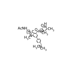 CC(=O)N[C@H]1CC[C@@H](N(C)c2cc(-c3ccc(CN(C)C)cc3)cc(C(=O)NCc3c(C)cc(C)[nH]c3=O)c2C)CC1